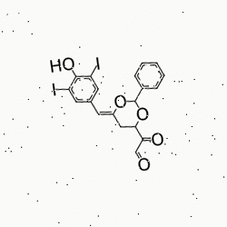 O=CC(=O)C1CC(=Cc2cc(I)c(O)c(I)c2)OC(c2ccccc2)O1